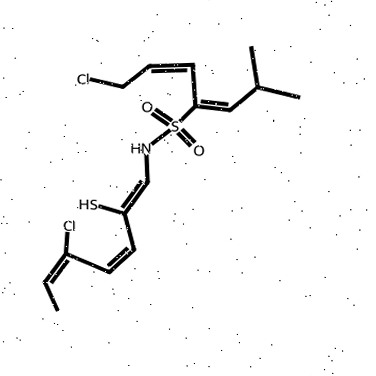 C\C=C(Cl)/C=C\C(S)=C\NS(=O)(=O)C(/C=C\CCl)=C/C(C)C